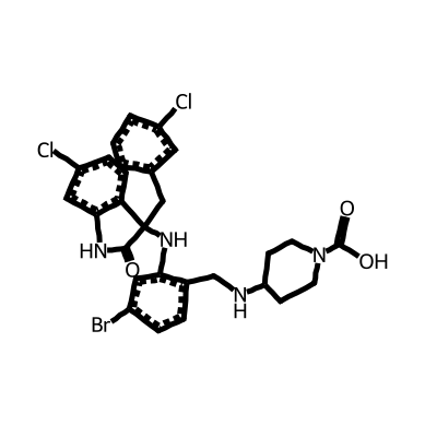 O=C(O)N1CCC(NCc2ccc(Br)cc2NC2(Cc3cccc(Cl)c3)C(=O)Nc3cc(Cl)ccc32)CC1